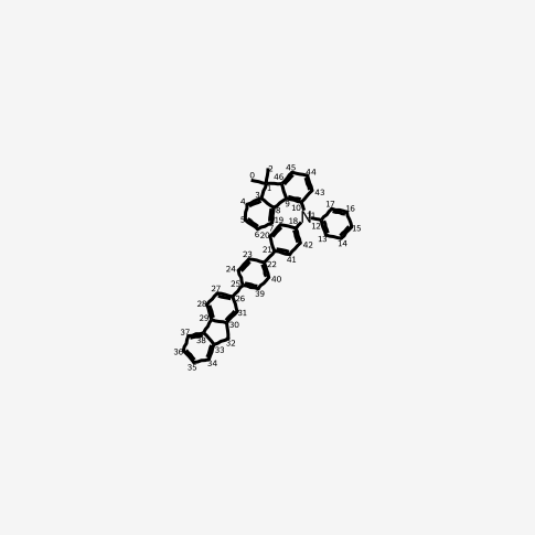 CC1(C)c2ccccc2-c2c(N(c3ccccc3)c3ccc(-c4ccc(-c5ccc6c(c5)Cc5ccccc5-6)cc4)cc3)cccc21